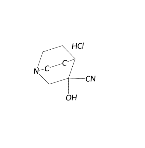 Cl.N#CC1(O)CN2CCC1CC2